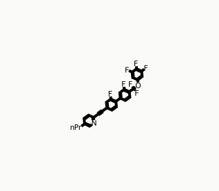 CCCc1ccc(C#Cc2ccc(-c3ccc(C(F)(F)Oc4cc(F)c(F)c(F)c4)c(F)c3)c(F)c2)nc1